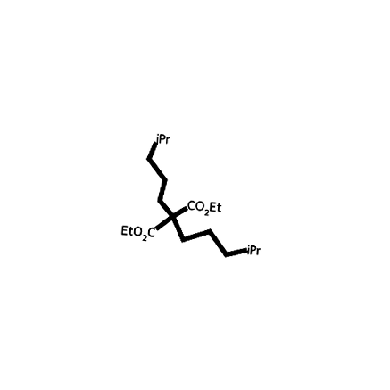 CCOC(=O)C(CCCC(C)C)(CCCC(C)C)C(=O)OCC